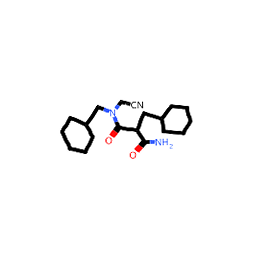 N#CCN(CC1CCCCC1)C(=O)C(CC1CCCCC1)C(N)=O